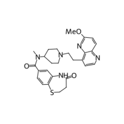 COc1ccc2nccc(CCN3CCC(N(C)C(=O)c4ccc5c(c4)NC(=O)CCS5)CC3)c2n1